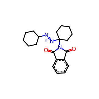 O=C1c2ccccc2C(=O)N1C1(/N=N/C2CCCCC2)CCCCC1